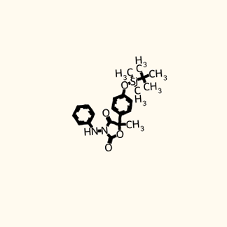 CC1(c2ccc(O[Si](C)(C)C(C)(C)C)cc2)OC(=O)N(Nc2ccccc2)C1=O